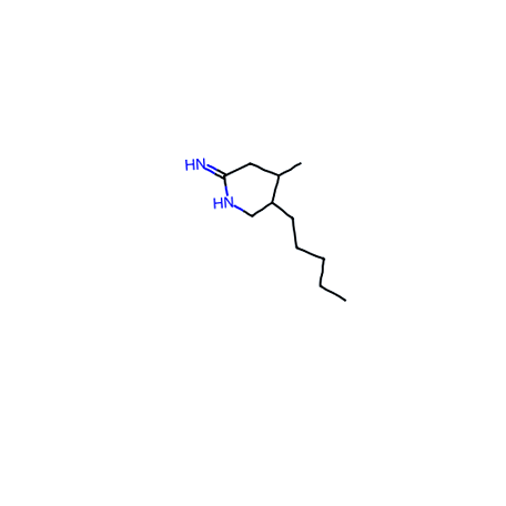 CCCCCC1CNC(=N)CC1C